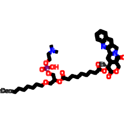 CCCCCCCCCCCCCCCCCOCC(COP(=O)(O)OCCN(C)C)OC(=O)CCCCCCCC(=O)O[C@]1(CC)C(=O)OCc2c1cc1n(c2=O)Cc2cc3ccccc3nc2-1